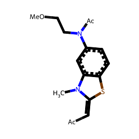 COCCN(C(C)=O)c1ccc2c(c1)N(C)C(=CC(C)=O)S2